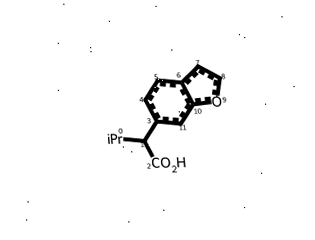 CC(C)C(C(=O)O)c1ccc2ccoc2c1